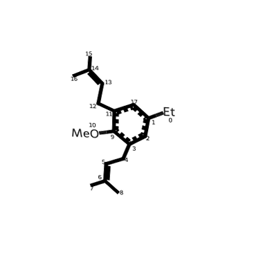 CCc1cc(CC=C(C)C)c(OC)c(CC=C(C)C)c1